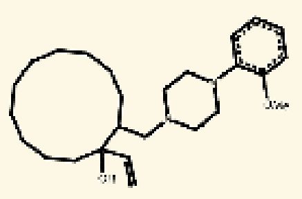 C=CC1(O)CCCCCCCCCCC1CN1CCN(c2ccccc2OC)CC1